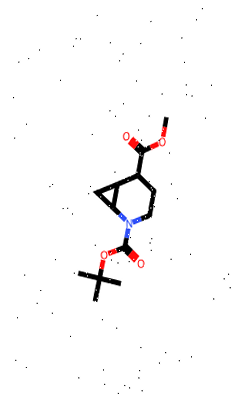 COC(=O)C1CCN(C(=O)OC(C)(C)C)C2CC12